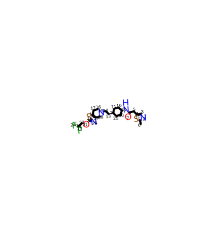 Cc1ncc(CC(=O)N[C@H]2CC[C@H](CCN3CCc4sc(OCC(F)F)nc4C3)CC2)s1